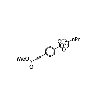 CCCC12COC(c3ccc(C#CC(=O)OC)cc3)(OC1)OC2